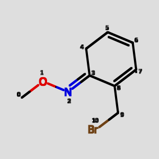 CON=C1CC=C[C]=C1CBr